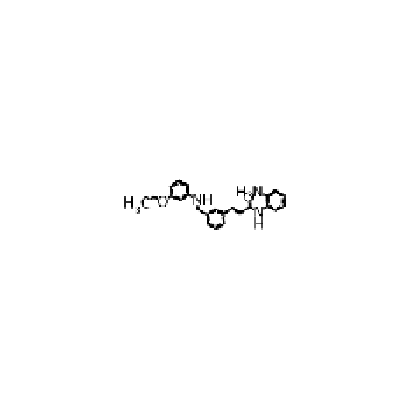 CCOc1cccc(NCc2cccc(/C=C/C(=O)Nc3ccccc3N)c2)c1